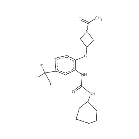 CC(=O)N1CC(Oc2ccc(C(F)(F)F)cc2NC(=O)NC2CCCCC2)C1